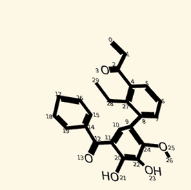 C=CC(=O)c1cccc(-c2cc(C(=O)c3ccccc3)c(O)c(O)c2OC)c1CC